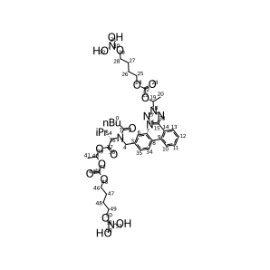 CCCCC(=O)N(Cc1ccc(-c2ccccc2-c2nnn(C(C)OC(=O)OCCCCON(O)O)n2)cc1)[C@H](C(=O)OC(C)OC(=O)OCCCCON(O)O)C(C)C